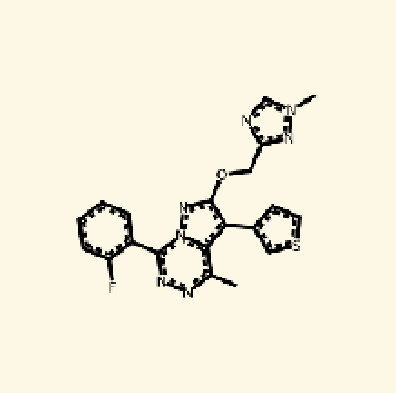 Cc1nnc(-c2ccccc2F)n2nc(OCc3ncn(C)n3)c(-c3ccsc3)c12